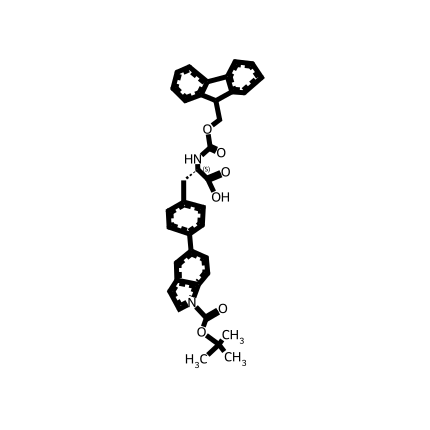 CC(C)(C)OC(=O)n1ccc2cc(-c3ccc(C[C@H](NC(=O)OCC4c5ccccc5-c5ccccc54)C(=O)O)cc3)ccc21